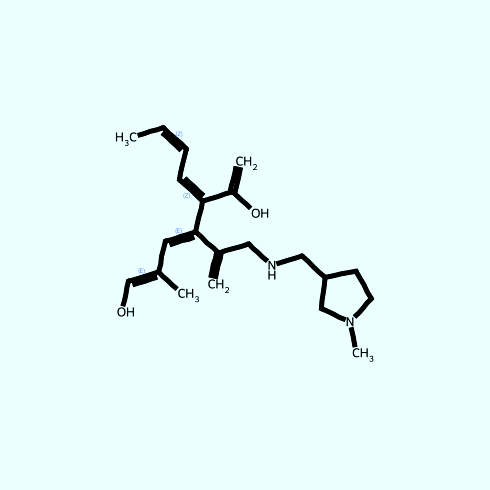 C=C(O)C(=C\C=C/C)/C(=C/C(C)=C/O)C(=C)CNCC1CCN(C)C1